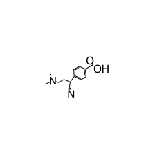 CN(C)CCC(C#N)c1ccc(C(=O)O)cc1